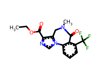 CCOC(=O)c1ncn2c1CN(C)C(=O)c1c-2cccc1C(F)(F)F